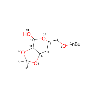 CCCCOCC1CC2OC(C)(C)OC2C(O)O1